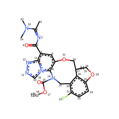 C/C(=N/C(=O)c1cc2c(n3cnnc13)N(C(=O)OC(C)(C)C)Cc1c(F)ccc3c1[C@H](CO3)CO2)N(C)C